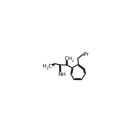 C=CC(=N)C(=C)C1=CC=CC=C=C1CC(C)C